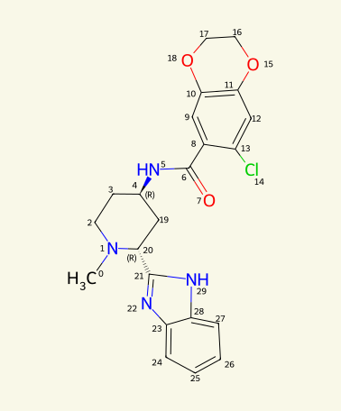 CN1CC[C@@H](NC(=O)c2cc3c(cc2Cl)OCCO3)C[C@@H]1c1nc2ccccc2[nH]1